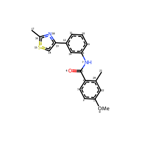 COc1ccc(C(=O)Nc2cccc(-c3csc(C)n3)c2)c(C)c1